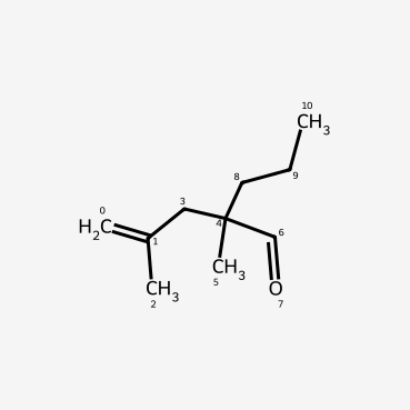 C=C(C)CC(C)(C=O)CCC